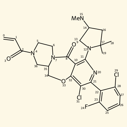 C=CC(=O)N1CCN2C(=O)c3c(N4CC(NC)CC4(C)C)nc(-c4c(F)cccc4Cl)c(Cl)c3OCC2C1